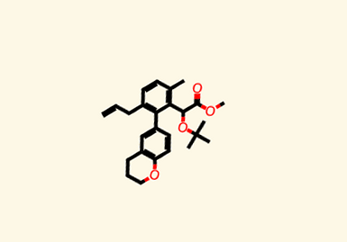 C=CCc1ccc(C)c(C(OC(C)(C)C)C(=O)OC)c1-c1ccc2c(c1)CCCO2